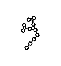 c1ccc(-c2ccc(-c3ccc(-c4cccc(-c5ccc(-c6ccc(-n7c8ccccc8c8ccccc87)cc6)c(-c6ccc(-n7c8ccccc8c8ccccc87)cc6)c5)c4)cc3)cc2)cc1